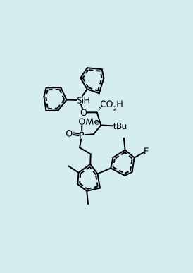 COP(=O)(CCc1c(C)cc(C)cc1-c1ccc(F)c(C)c1)CC([C@H](O[SiH](c1ccccc1)c1ccccc1)C(=O)O)C(C)(C)C